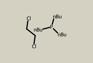 CCCCP(CCCC)CCCC.ClCCCl